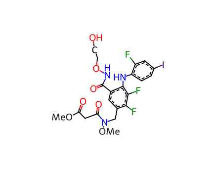 COC(=O)CC(=O)N(Cc1cc(C(=O)NOCCO)c(Nc2ccc(I)cc2F)c(F)c1F)OC